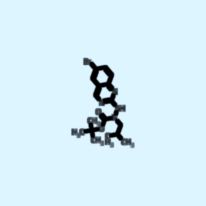 CC(C)CN(Nc1ncc2cc(Br)ccc2n1)C(=O)OC(C)(C)C